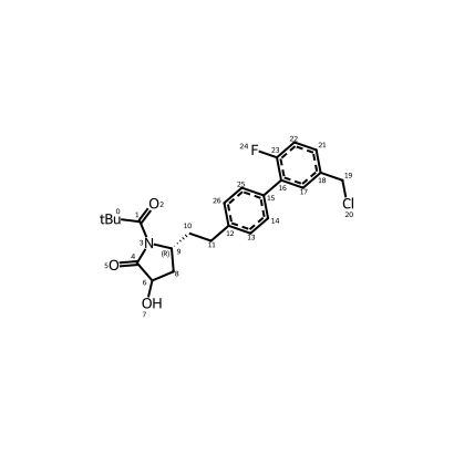 CC(C)(C)C(=O)N1C(=O)C(O)C[C@H]1CCc1ccc(-c2cc(CCl)ccc2F)cc1